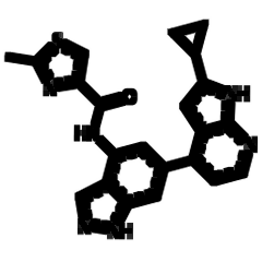 Cc1nc(C(=O)Nc2cc(-c3ccnc4[nH]c(C5CC5)cc34)cc3[nH]ncc23)cs1